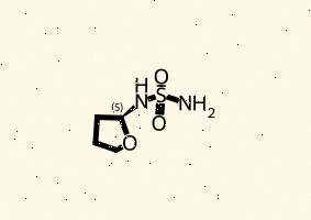 NS(=O)(=O)N[C@@H]1CCCO1